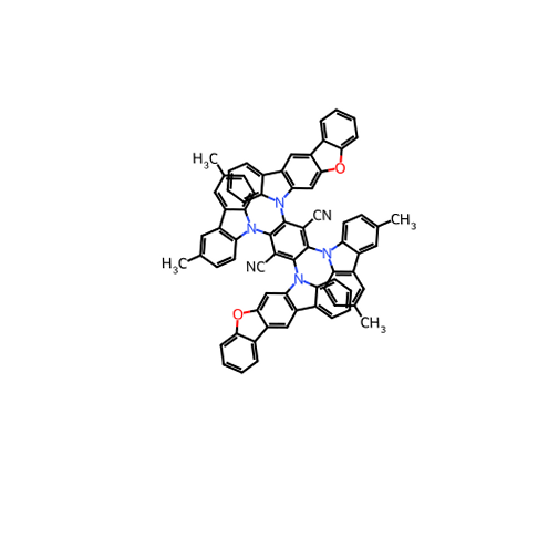 Cc1ccc2c(c1)c1cc(C)ccc1n2-c1c(C#N)c(-n2c3ccccc3c3cc4c(cc32)oc2ccccc24)c(-n2c3ccc(C)cc3c3cc(C)ccc32)c(C#N)c1-n1c2ccccc2c2cc3c(cc21)oc1ccccc13